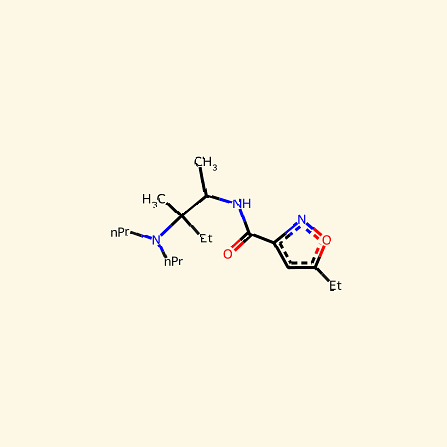 CCCN(CCC)C(C)(CC)C(C)NC(=O)c1cc(CC)on1